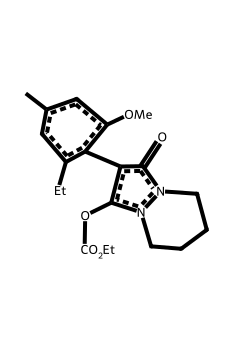 CCOC(=O)Oc1c(-c2c(CC)cc(C)cc2OC)c(=O)n2n1CCCC2